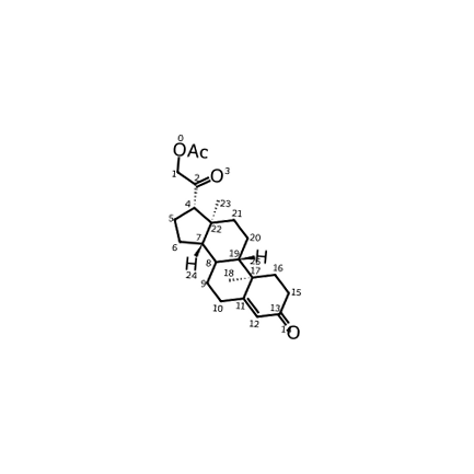 CC(=O)OCC(=O)[C@H]1CC[C@H]2C3CCC4=CC(=O)CC[C@]4(C)[C@H]3CC[C@]12C